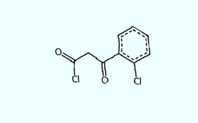 O=C(Cl)CC(=O)c1ccccc1Cl